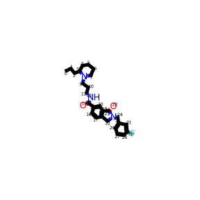 CCCC1CCCCN1CCCNC(=O)c1ccc2c(c1)C(=O)N(Cc1cccc(F)c1)C2